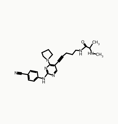 CNC(C)C(=O)NCCCC#Cc1cnc(Nc2ccc(C#N)cc2)nc1N1CCCC1